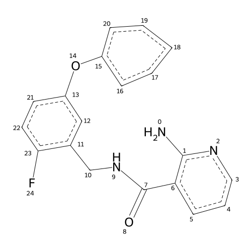 Nc1ncccc1C(=O)NCc1cc(Oc2ccccc2)ccc1F